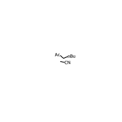 CC#N.CCCCCC(C)=O